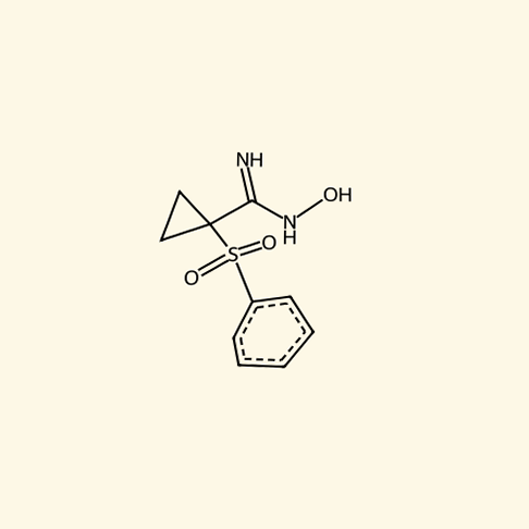 N=C(NO)C1(S(=O)(=O)c2ccccc2)CC1